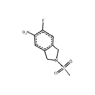 CS(=O)(=O)N1Cc2cc(F)c([N+](=O)[O-])cc2C1